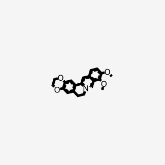 COc1ccc2cc3[n+](cc2c1OC)CCc1cc2c(cc1-3)OCCO2